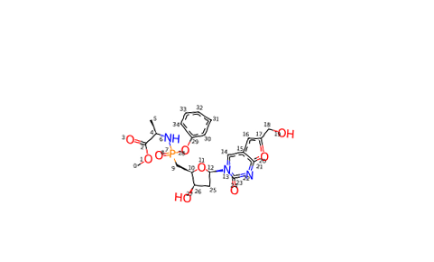 COC(=O)[C@@H](C)NP(=O)(C[C@H]1O[C@@H](n2cc3cc(CO)oc3nc2=O)C[C@H]1O)Oc1ccccc1